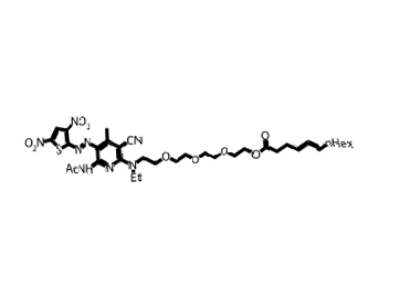 CCCCCC/C=C/CCCC(=O)OCCOCCOCCOCCN(CC)c1nc(NC(C)=O)c(/N=N/c2sc([N+](=O)[O-])cc2[N+](=O)[O-])c(C)c1C#N